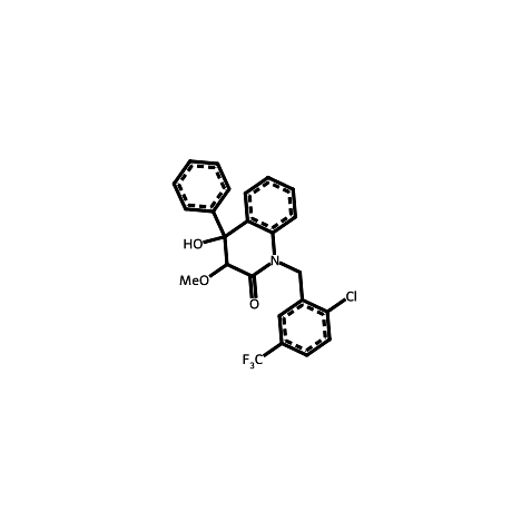 COC1C(=O)N(Cc2cc(C(F)(F)F)ccc2Cl)c2ccccc2C1(O)c1ccccc1